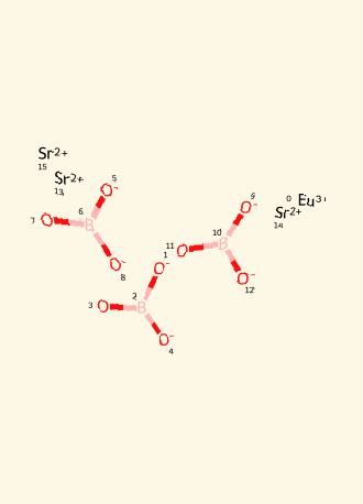 [Eu+3].[O-]B([O-])[O-].[O-]B([O-])[O-].[O-]B([O-])[O-].[Sr+2].[Sr+2].[Sr+2]